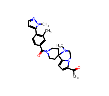 Cc1cc(C(=O)N2CCC3(CC2)c2ccc(C(=O)C(F)(F)F)n2CCN3C)ccc1-c1ccnn1C